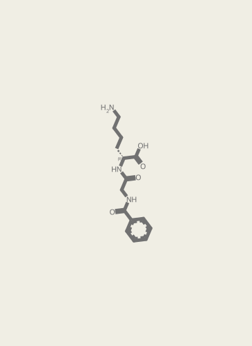 NCCCC[C@@H](NC(=O)CNC(=O)c1ccccc1)C(=O)O